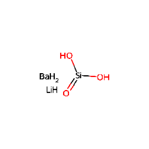 O=[Si](O)O.[BaH2].[LiH]